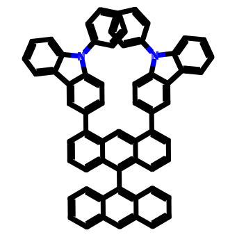 c1ccc(-n2c3ccccc3c3cc(-c4cccc5c(-c6c7ccccc7cc7ccccc67)c6cccc(-c7ccc8c(c7)c7ccccc7n8-c7ccccc7)c6cc45)ccc32)cc1